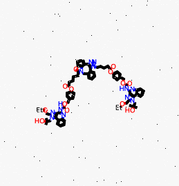 CCOCc1nc2c(NC(=O)OCc3ccc(OC(=O)CCCCC(=O)N4Cc5ccccc5-c5c(nnn5CCCCC(=O)Oc5ccc(COC(=O)Nc6nc7ccccc7c7c6nc(COCC)n7CC(C)(C)O)cc5)-c5ccccc54)cc3)nc3ccccc3c2n1CC(C)(C)O